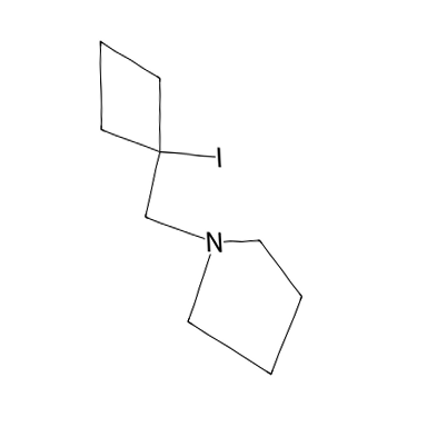 IC1(CN2CCCC2)CCC1